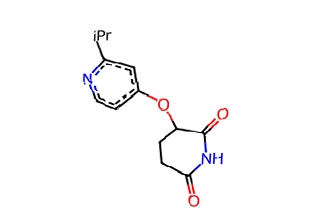 CC(C)c1cc(OC2CCC(=O)NC2=O)ccn1